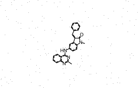 Cc1nc(Nc2ccc3c(c2)/C(=C/c2ccccc2)C(=O)N3C)c2ccccc2n1